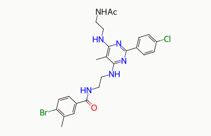 CC(=O)NCCNc1nc(-c2ccc(Cl)cc2)nc(NCCNC(=O)c2ccc(Br)c(C)c2)c1C